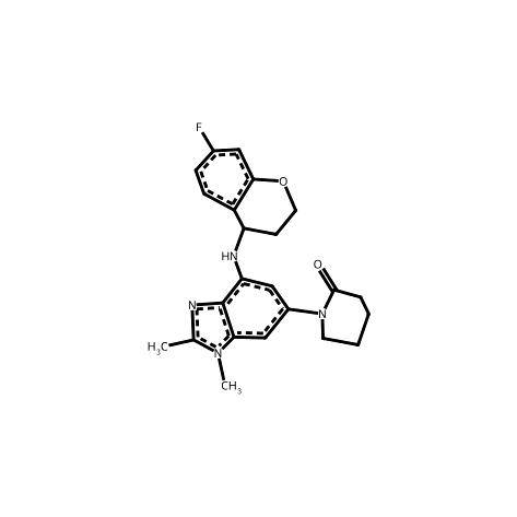 Cc1nc2c(NC3CCOc4cc(F)ccc43)cc(N3CCCCC3=O)cc2n1C